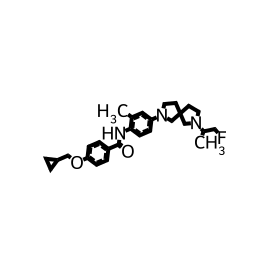 Cc1cc(N2CCC3(CCN(C(C)CF)C3)C2)ccc1NC(=O)c1ccc(OCC2CC2)cc1